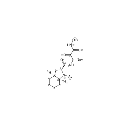 CCC[C@H](NC(=O)[C@@H]1C[C@@H]2CCCC[C@@H]2N1C(C)=O)C(=O)C(=O)NOCC(C)C